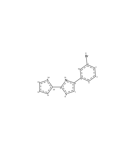 Brc1cccc(-c2csc(-c3cccs3)n2)c1